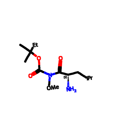 CCC(C)(C)OC(=O)N(OC)C(=O)[C@@H](N)CC(C)C